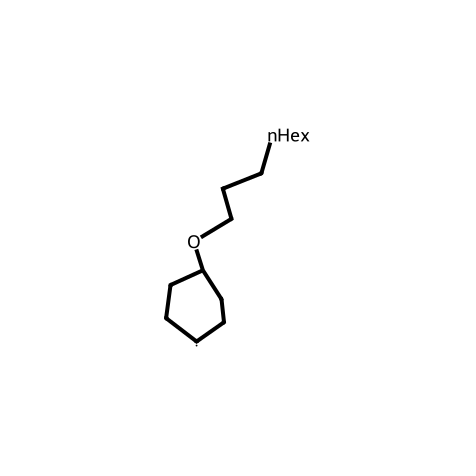 CCCCCCCCCOC1CC[CH]CC1